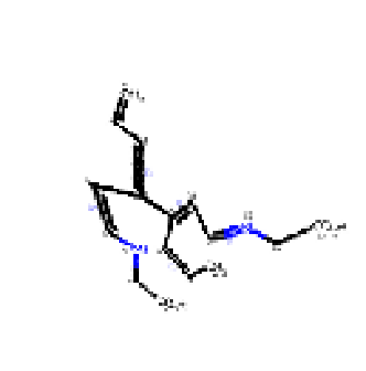 C=C/C=C(\C=C/NCC(=O)O)C(/C=C\C)=C/C=N/CC(=O)O